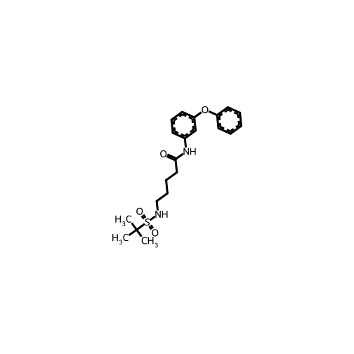 CC(C)(C)S(=O)(=O)NCCCCC(=O)Nc1cccc(Oc2ccccc2)c1